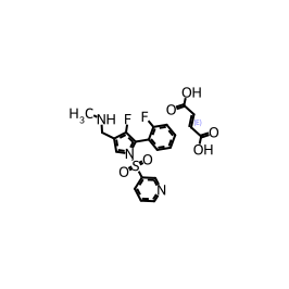 CNCc1cn(S(=O)(=O)c2cccnc2)c(-c2ccccc2F)c1F.O=C(O)/C=C/C(=O)O